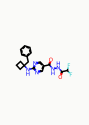 O=C(NNC(=O)C(F)F)c1cnc(NC2(Cc3ccccc3)CCC2)nc1